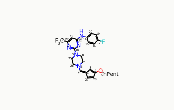 CCCCCOC1=C/C(=C\N2CCN(c3nc(Nc4ccc(F)cc4)cc(C(F)(F)F)n3)CC2)C=C1